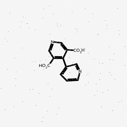 O=C(O)c1cncc(C(=O)O)c1-c1cccnc1